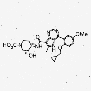 COc1ccc(OCC2CC2)c(-c2ncnc3c(C(=O)N[C@@H]4CCN(C(=O)O)C[C@H]4O)c(C)[nH]c23)c1